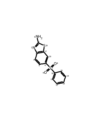 Nc1nc2ccc(S(=O)(=O)c3ccccc3)cc2s1